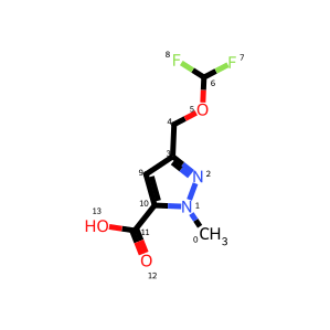 Cn1nc(COC(F)F)cc1C(=O)O